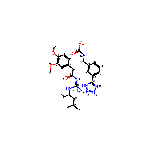 COc1ccc(CC(=O)N=C(N)N[C@H](C)CC(C)C)cc1OC.O=C(O)NCc1cccc(-c2nnn[nH]2)c1